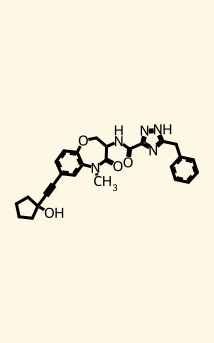 CN1C(=O)C(NC(=O)c2n[nH]c(Cc3ccccc3)n2)COc2ccc(C#CC3(O)CCCC3)cc21